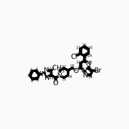 Cc1nn(-c2ccccc2)nc1C(=O)N1CCC(COc2cc(-c3ccccc3Cl)nc3c(Br)cnn23)CC1